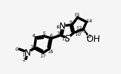 CN(C)c1ccc(-c2nc3c(s2)[C@H](O)CC3)cc1